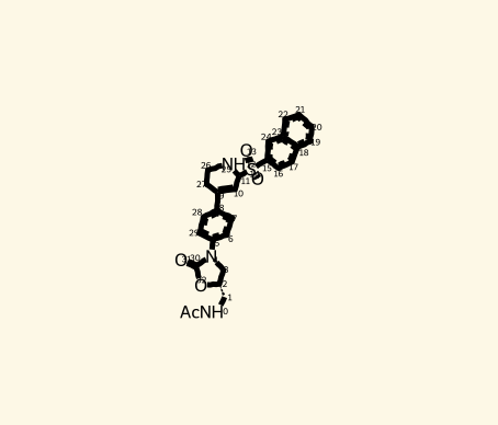 CC(=O)NC[C@H]1CN(c2ccc(C3=CC(S(=O)(=O)c4ccc5ccccc5c4)NCC3)cc2)C(=O)O1